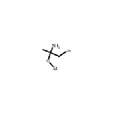 CCOC(C)(N)CC(C)C